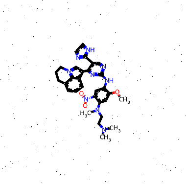 COc1cc(N(C)CCN(C)C)c([N+](=O)[O-])cc1Nc1ncc(-c2ncc[nH]2)c(-c2cn3c4c(cccc24)CCC3)n1